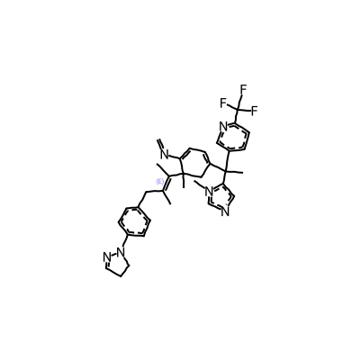 C=NC1=CC=C(C(C)(c2ccc(C(F)(F)F)nc2)c2cncn2C)CC1(C)/C(C)=C(\C)Cc1ccc(N2CCC=N2)cc1